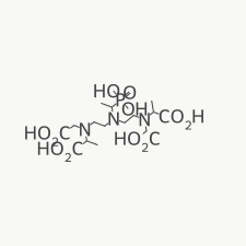 CC(C(=O)O)N(CCN(CCN(CC(=O)O)C(C)C(=O)O)C(C)P(=O)(O)O)CC(=O)O